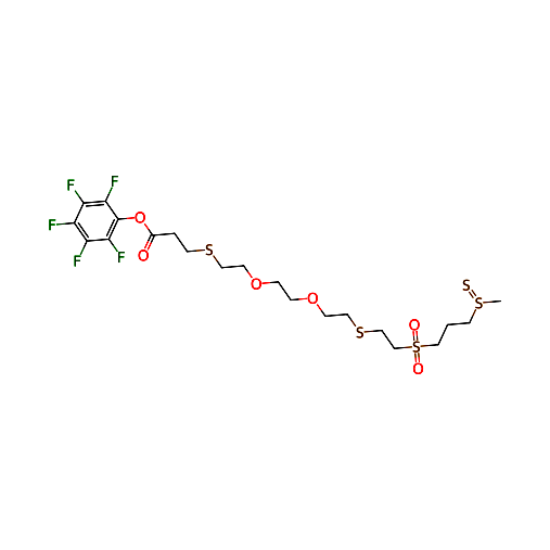 CS(=S)CCCS(=O)(=O)CCSCCOCCOCCSCCC(=O)Oc1c(F)c(F)c(F)c(F)c1F